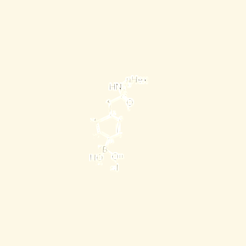 CCCCCCNC(=O)Cc1ccc(B(O)OI)cc1